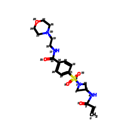 C=CC(=O)NC1CN(S(=O)(=O)c2ccc(C(=O)NCCN3CCOCC3)cc2)C1